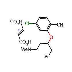 CNCCC(CC(C)C)Oc1cc(Cl)ccc1C#N.O=C(O)/C=C/C(=O)O